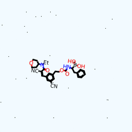 CCN(C(=O)C(C#N)=Cc1cc(C#N)cc(CCOC(=O)NC(Cc2ccccc2)B(O)O)c1)C1CCOCC1